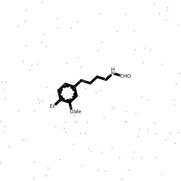 CCc1ccc(CCCCNC=O)cc1OC